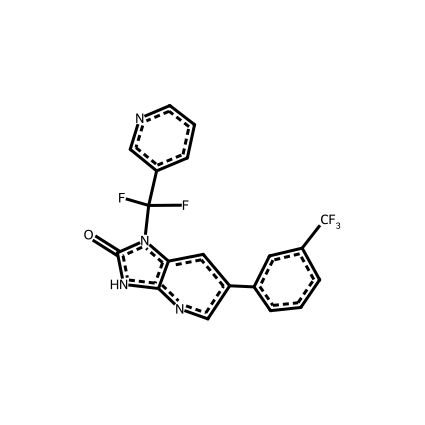 O=c1[nH]c2ncc(-c3cccc(C(F)(F)F)c3)cc2n1C(F)(F)c1cccnc1